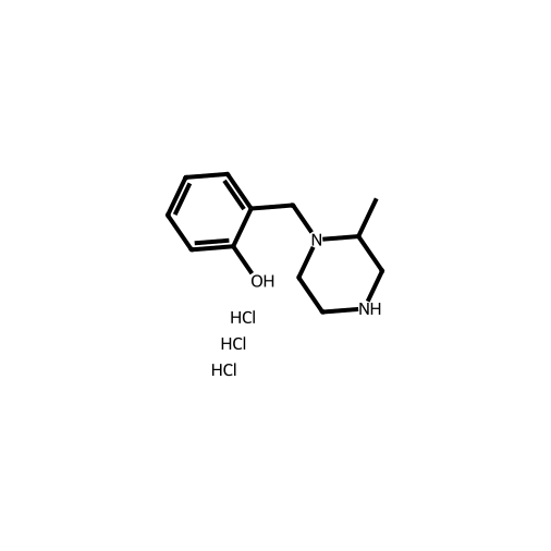 CC1CNCCN1Cc1ccccc1O.Cl.Cl.Cl